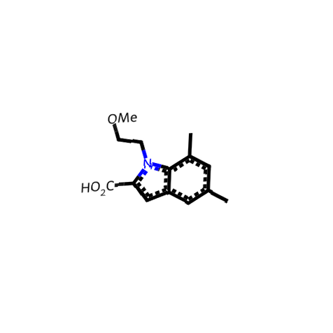 COCCn1c(C(=O)O)cc2cc(C)cc(C)c21